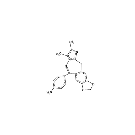 Cc1nc2n(c1C)N=C(c1ccc(N)cc1)c1cc3c(cc1C2)OCO3